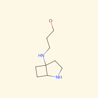 [O]CCCNC12CCNC1CC2